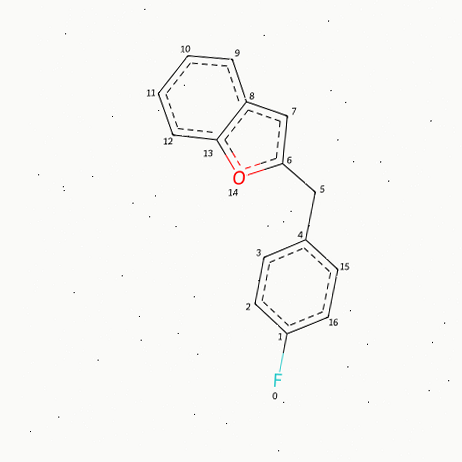 Fc1ccc(Cc2cc3ccccc3o2)cc1